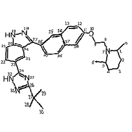 CC1CCCC(C)N1CCOc1ccc2cc(-c3n[nH]c4ccc(-c5nc(C(C)(C)C)n[nH]5)cc34)ccc2c1